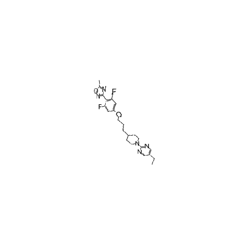 CCc1cnc(N2CCC(CCCOc3cc(F)c(-c4noc(C)n4)c(F)c3)CC2)nc1